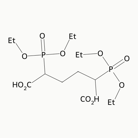 CCOP(=O)(OCC)C(CCC(C(=O)O)P(=O)(OCC)OCC)C(=O)O